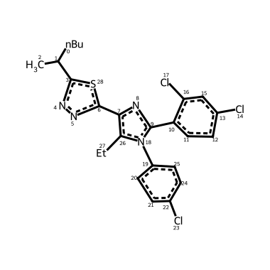 CCCCC(C)c1nnc(-c2nc(-c3ccc(Cl)cc3Cl)n(-c3ccc(Cl)cc3)c2CC)s1